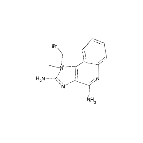 CC(C)C[N+]1(C)C(N)=Nc2c(N)nc3ccccc3c21